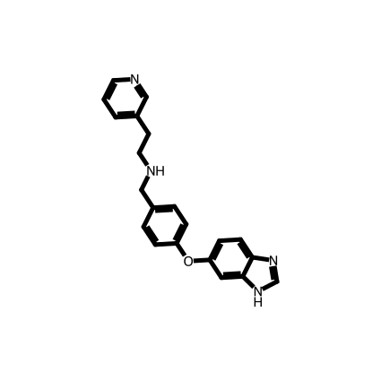 c1cncc(CCNCc2ccc(Oc3ccc4nc[nH]c4c3)cc2)c1